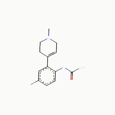 CNC(=O)Nc1ccc(Cl)cc1C1=CCN(C)CC1